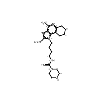 CCCCCc1nc2c(N)nc3c(c2n1CCCCNC(=O)N1CCOCC1)CCCC3